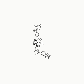 Cc1c(NC[C@H]2CCC[C@@H](C3C=CC(OC(F)(F)F)=CC3)O2)ncnc1C(=O)N1CCC(N[C@@H]2CCOC[C@@H]2F)CC1